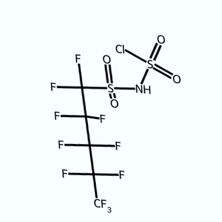 O=S(=O)(Cl)NS(=O)(=O)C(F)(F)C(F)(F)C(F)(F)C(F)(F)C(F)(F)F